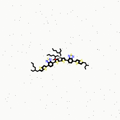 CCCCC(CC)Cc1cc2sc(-c3ccc(-c4cc5c(s4)-c4sc(-c6ccc(-c7cc8sc(CC(C)CC)cc8s7)c7nsnc67)cc4[Si]5(CC(CC)CCCC)CC(CC)CCCC)c4nsnc34)cc2s1